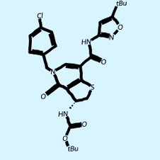 CC(C)(C)OC(=O)N[C@H]1CSc2c(C(=O)Nc3cc(C(C)(C)C)on3)cn(Cc3ccc(Cl)cc3)c(=O)c21